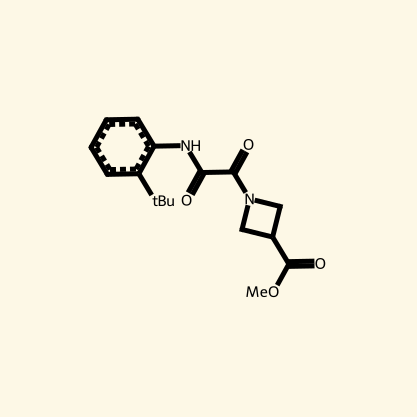 COC(=O)C1CN(C(=O)C(=O)Nc2ccccc2C(C)(C)C)C1